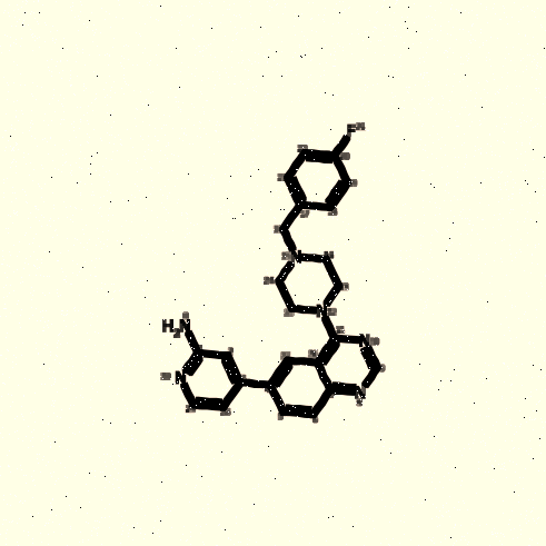 Nc1cc(-c2ccc3ncnc(N4CCN(Cc5ccc(F)cc5)CC4)c3c2)ccn1